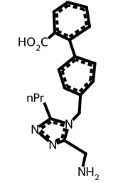 CCCc1nnc(CN)n1Cc1ccc(-c2ccccc2C(=O)O)cc1